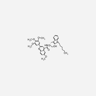 CCCCCCn1cc(C[C@H](CO)NC(=O)c2cc(-c3cc(OC)c(OC)c(OC)c3)nc3ccc(OC)cc23)c2ccccc21